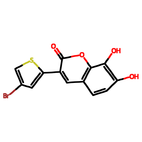 O=c1oc2c(O)c(O)ccc2cc1-c1cc(Br)cs1